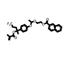 C=C(C)C(=O)OC(C)(CCC(F)(F)F)c1ccc(OC(C)OCCOC(=O)c2ccc3ccccc3c2)cc1